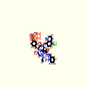 C=CCN1CC(=O)N2[C@@H](Cc3ccc(OP(=O)(O)O)cc3)C(=O)N(Cc3ccc(Cl)c4cccnc34)C[C@@H]2N1C(=O)NCc1ccccc1